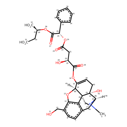 CN1CC[C@]23c4c5ccc(CO)c4O[C@H]2C(OC(=O)[C@@H](O)CC(=O)O[C@H](C(=O)O[C@@H](CC(=O)O)C(=O)O)c2ccccc2)=CC[C@@]3(O)[C@H]1C5